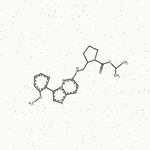 COc1ccccc1-c1cnc2ccc(NCC3CCCN3C(=O)OC(C)C)nn12